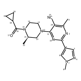 Cc1nc(-c2cnn(C)c2)nc(N2CCN(C(=O)C3CC3)[C@H](C)C2)c1C#N